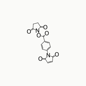 O=C(ON1C(=O)CCC1=O)c1ccc(N2C(=O)C=CC2=O)cc1